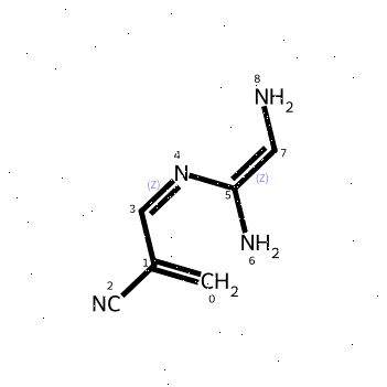 C=C(C#N)/C=N\C(N)=C/N